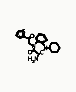 NC1CN(C2CCCCC2)c2ccccc2N(CC(=O)c2cccs2)C1=O